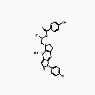 CCCC(C[C@H]1CCC2=C1[C@@H](C)C1=CNN(c3ccc(F)cc3)C1=C2)NC(=O)c1ccc(O)cc1